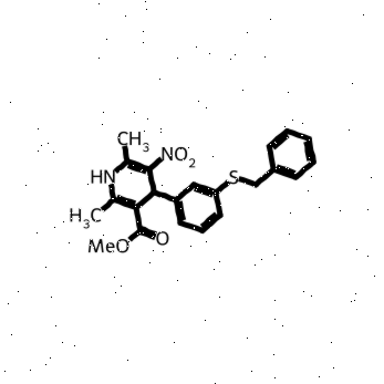 COC(=O)C1=C(C)NC(C)=C([N+](=O)[O-])C1c1cccc(SCc2ccccc2)c1